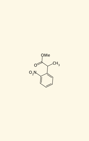 COC(=O)C(C)c1ccccc1[N+](=O)[O-]